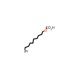 CC(C)CCCCCCCCCOC(=O)O